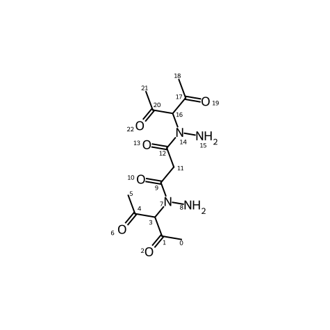 CC(=O)C(C(C)=O)N(N)C(=O)CC(=O)N(N)C(C(C)=O)C(C)=O